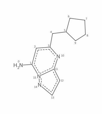 Nc1cc(CC2CCCC2)nc2ccnn12